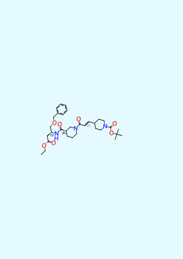 CCOC(=O)C[C@@H](COCc1ccccc1)NC(=O)[C@@H]1CCCN(C(=O)/C=C/C2CCN(C(=O)OC(C)(C)C)CC2)C1